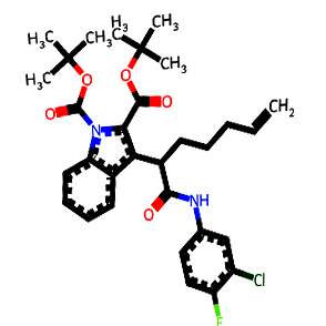 C=CCCCC(C(=O)Nc1ccc(F)c(Cl)c1)c1c(C(=O)OC(C)(C)C)n(C(=O)OC(C)(C)C)c2ccccc12